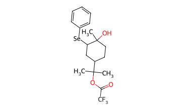 CC1(O)CCC(C(C)(C)OC(=O)C(F)(F)F)CC1[Se]c1ccccc1